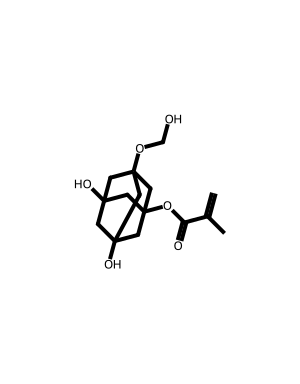 C=C(C)C(=O)OC12CC3(O)CC(O)(CC(OCO)(C3)C1)C2